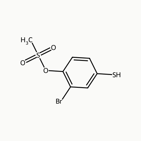 CS(=O)(=O)Oc1ccc(S)cc1Br